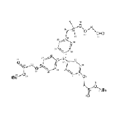 CC(C)(C)OC(=O)COc1ccc([S+](c2ccc(CC(C)(C)OOCC=O)cc2)c2ccc(OCC(=O)OC(C)(C)C)cc2)cc1